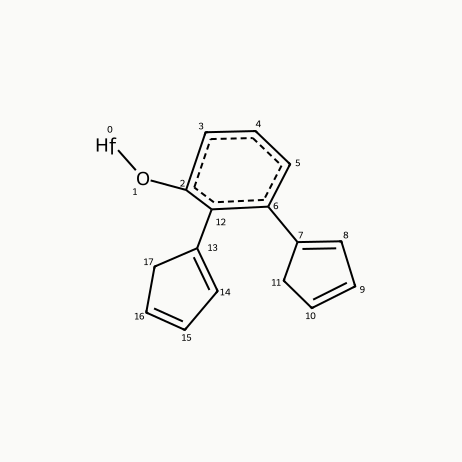 [Hf][O]c1cccc(C2=CC=CC2)c1C1=CC=CC1